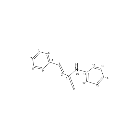 C=C(C=Cc1ccccc1)Nc1ccccc1